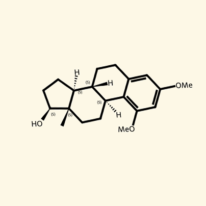 COc1cc2c(c(OC)c1)[C@H]1CC[C@]3(C)[C@@H](O)CC[C@H]3[C@@H]1CC2